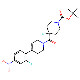 CC(C)(C)OC(=O)N1CCC(F)(C(=O)N2CC=C(c3ccc([N+](=O)[O-])cc3F)CC2)CC1